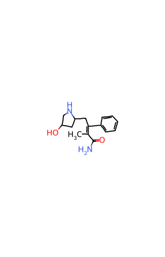 CC(C(N)=O)=C(CC1CC(O)CN1)c1ccccc1